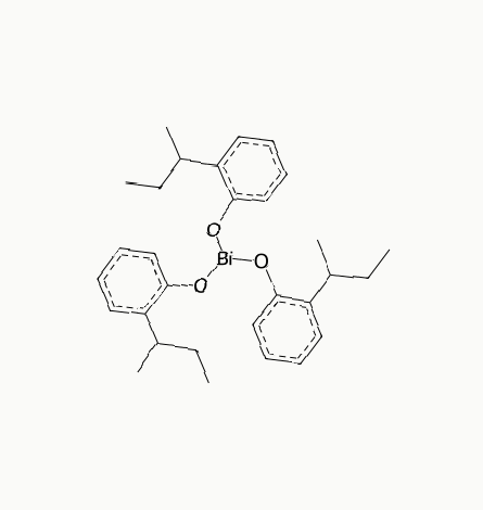 CCC(C)c1ccccc1[O][Bi]([O]c1ccccc1C(C)CC)[O]c1ccccc1C(C)CC